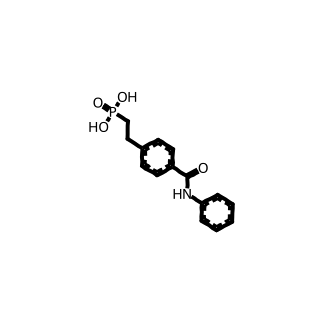 O=C(Nc1ccccc1)c1ccc(CCP(=O)(O)O)cc1